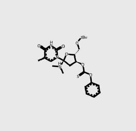 Cc1cn([C@@]2([SiH](C)C)C[C@H](OC(=S)Oc3ccccc3)[C@@H](COC(C)(C)C)O2)c(=O)[nH]c1=O